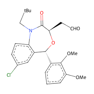 COc1cccc([C@H]2O[C@H](CC=O)C(=O)N(CC(C)(C)C)c3ccc(Cl)cc32)c1OC